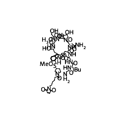 CC[C@H](C)[C@H](NC(=O)CN)C(=O)NCC(=O)N[C@H]1C[S+]([O-])c2[nH]c3c(CS[C@H]4CCN(C(=O)CCCCCN5C(=O)C=CC5=O)C4)c(OC)ccc3c2C[C@@H](CO)NC(=O)[C@H]([C@@H](C)[C@@H](O)CO)NC(=O)[C@@H]2C[C@@H](O)CN2C(=O)[C@H](CC(N)=O)NC1=O